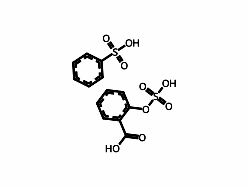 O=C(O)c1ccccc1OS(=O)(=O)O.O=S(=O)(O)c1ccccc1